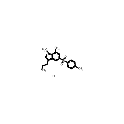 Cc1ccc(S(=O)(=O)c2cc(C)c3c(c2)c(CCN)cn3C)cc1.Cl